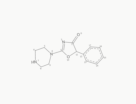 O=C1N=C(N2CCNCC2)OC1c1ccccc1